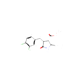 CC(C)(C)OC(=O)[C@H]1C(Cc2ccc(Cl)c(Cl)c2)C(=O)NC1C(=O)O